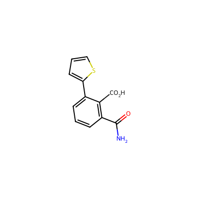 NC(=O)c1cccc(-c2cccs2)c1C(=O)O